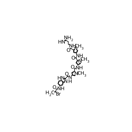 C=C(Br)C(=O)Nc1ccc2[nH]c(C(=O)Nc3cc(C(=O)Nc4cc(C(=O)Nc5cc(C(=O)NCCC(=N)N)n(C)c5)n(C)c4)n(C)c3)nc2c1